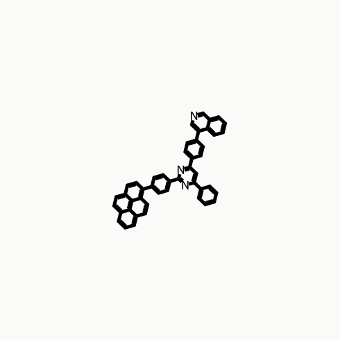 c1ccc(-c2cc(-c3ccc(-c4cncc5ccccc45)cc3)nc(-c3ccc(-c4ccc5ccc6cccc7ccc4c5c67)cc3)n2)cc1